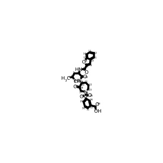 CC(C)CC(NC(=O)c1cc2ccccc2o1)C(=O)NC1CCCN(S(=O)(=O)c2cccc(C(=O)O)c2)CC1=O